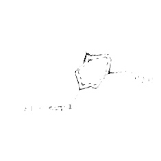 C=Nc1cccc(NC)c1